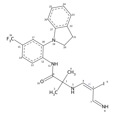 CC(C)(N/C=C(/I)C=N)C(=O)Nc1ccc(C(F)(F)F)cc1N1CCc2ccccc21